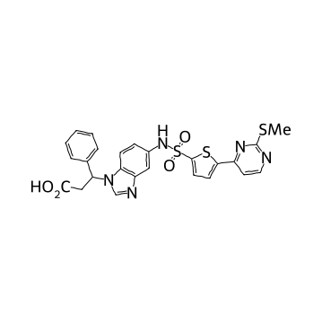 CSc1nccc(-c2ccc(S(=O)(=O)Nc3ccc4c(c3)ncn4C(CC(=O)O)c3ccccc3)s2)n1